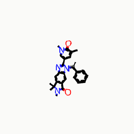 Cc1cc(-c2nc3cc4c(cc3n2[C@@H](C)c2ccccc2)C(=O)N(C)C4(C)C)cn(C)c1=O